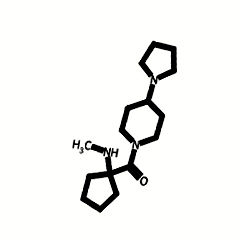 CNC1(C(=O)N2CCC(N3CCCC3)CC2)CCCC1